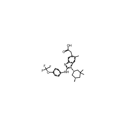 Cc1cc2c(cc1CC(=O)O)nc(Nc1ccc(OC(F)(F)F)cc1)n2[C@@H]1C[C@H](C)CC(C)(C)C1